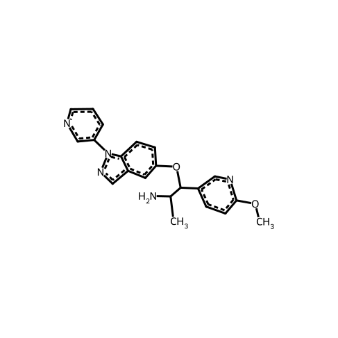 COc1ccc(C(Oc2ccc3c(cnn3-c3cccnc3)c2)C(C)N)cn1